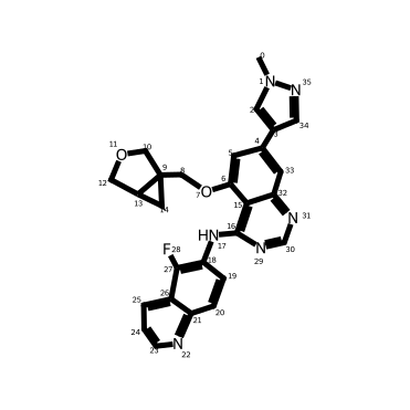 Cn1cc(-c2cc(OCC34COCC3C4)c3c(Nc4ccc5ncccc5c4F)ncnc3c2)cn1